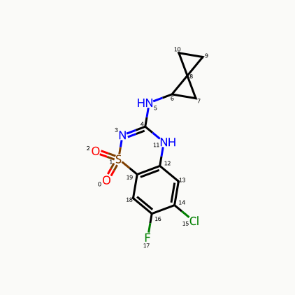 O=S1(=O)N=C(NC2CC23CC3)Nc2cc(Cl)c(F)cc21